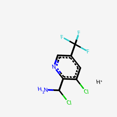 NC(Cl)c1ncc(C(F)(F)F)cc1Cl.[H+]